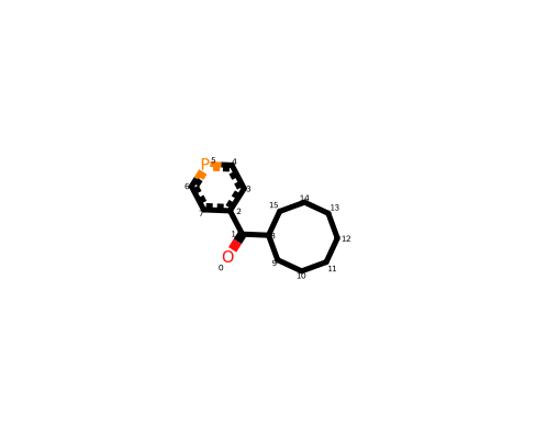 O=C(c1ccpcc1)C1CCCCCCC1